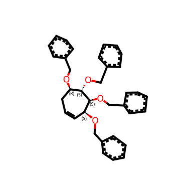 C1=C[C@H](OCc2ccccc2)[C@H](OCc2ccccc2)[C@@H](OCc2ccccc2)[C@H](OCc2ccccc2)C1